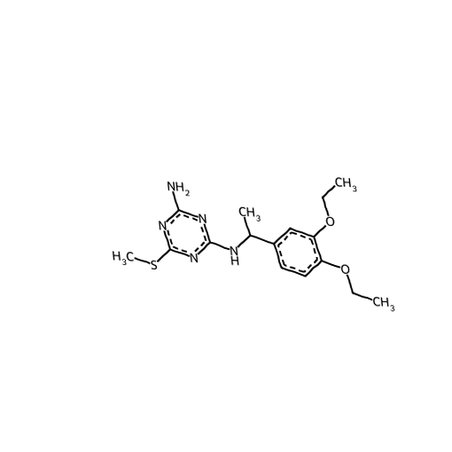 CCOc1ccc(C(C)Nc2nc(N)nc(SC)n2)cc1OCC